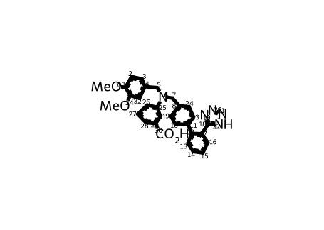 COc1ccc(CN(Cc2ccc(-c3ccccc3-c3nnn[nH]3)cc2)c2cccc(C(=O)O)c2)cc1OC